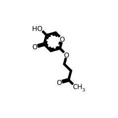 CC(=O)CCOc1cc(=O)c(O)co1